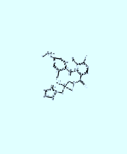 CC(=O)O.O=C(c1ccc(F)c(F)c1Nc1ccc(I)cc1F)N1CC(O)(Cc2ncc[nH]2)C1